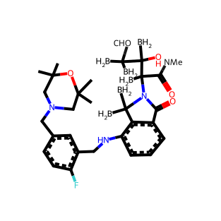 BC1(B)c2c(NCc3cc(CN4CC(C)(C)OC(C)(C)C4)ccc3F)cccc2C(=O)N1C(B)(C(=O)NC)C(B)(O)C(B)(B)C=O